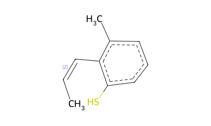 C/C=C\c1c(C)cccc1S